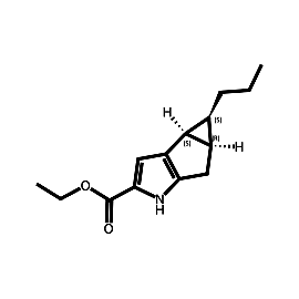 CCC[C@H]1[C@H]2Cc3[nH]c(C(=O)OCC)cc3[C@H]21